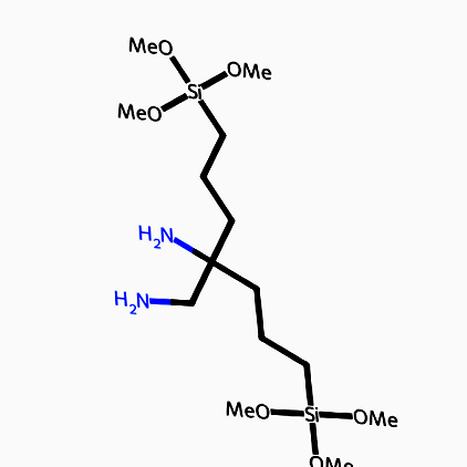 CO[Si](CCCC(N)(CN)CCC[Si](OC)(OC)OC)(OC)OC